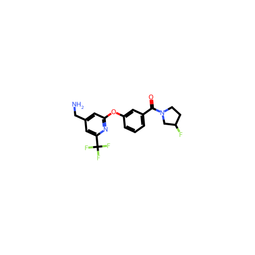 NCc1cc(Oc2cccc(C(=O)N3CCC(F)C3)c2)nc(C(F)(F)F)c1